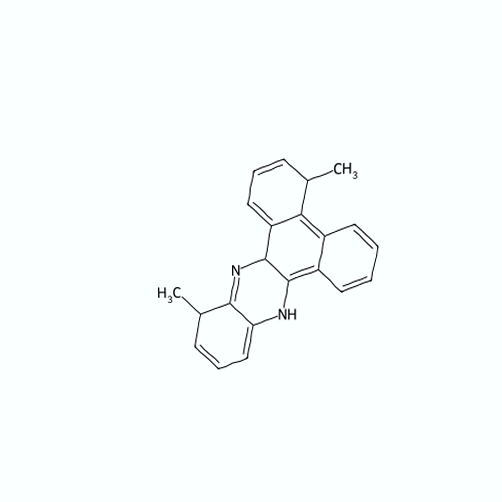 CC1C=CC=C2NC3=c4ccccc4=C4C(=CC=CC4C)C3N=C21